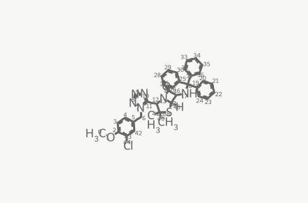 COc1ccc(Cn2nnnc2C2N3C(=O)C(NC(c4ccccc4)(c4ccccc4)c4ccccc4)[C@@H]3SC2(C)C)cc1Cl